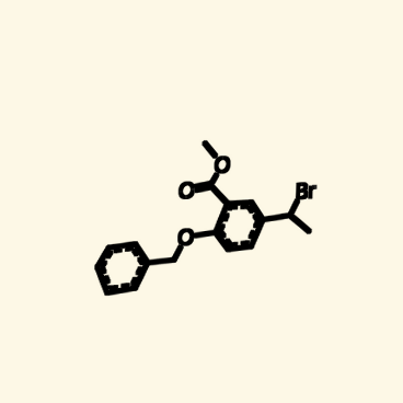 COC(=O)c1cc(C(C)Br)ccc1OCc1ccccc1